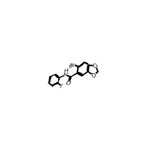 O=C(Nc1ccccc1F)c1cc2c(cc1Br)OCO2